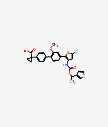 COc1cc(-c2sc(Cl)cc2NC(=O)OC(C)c2ccsc2)ccc1-c1ccc(C2(C(=O)O)CC2)cc1